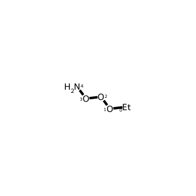 CCOOON